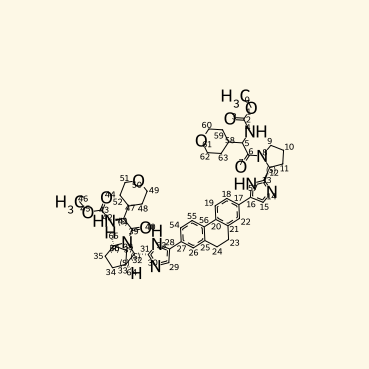 COC(=O)NC(C(=O)N1CCC[C@H]1c1ncc(-c2ccc3c(c2)CCc2cc(-c4cnc([C@@H]5[C@H]6CC[C@H](C6)N5C(=O)[C@@H](NC(=O)OC)C5CCOCC5)[nH]4)ccc2-3)[nH]1)C1CCOCC1